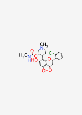 CNC(=O)OC1CN(C)CCC1c1c(O)cc(O)c2c(=O)cc(-c3ccccc3Cl)oc12